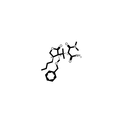 CCCC[C@H]1COC(=O)[C@@]1(COCc1ccccc1)C(C)(C)[C@@H](C(N)=O)C(=O)N(C)C